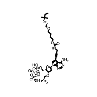 CCC(C)(C)SSCOCCCCOC(=O)NCC#Cc1cn([C@H]2C[C@H](OCS(C)=S)[C@@H](COP(=O)(O)OP(=O)(O)OP(=O)(O)O)O2)c2ncnc(N)c12